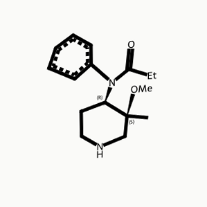 CCC(=O)N(c1ccccc1)[C@@H]1CCNC[C@]1(C)OC